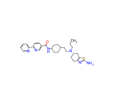 CCCN(CCC1CCC(NC(=O)c2ccc(-c3ccccn3)nc2)CC1)[C@H]1CCc2nc(N)sc2C1